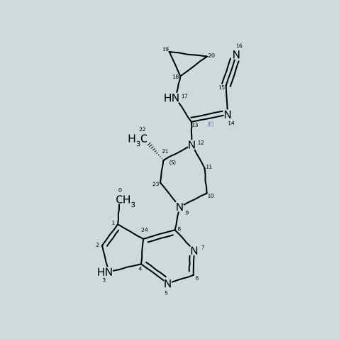 Cc1c[nH]c2ncnc(N3CCN(/C(=N/C#N)NC4CC4)[C@@H](C)C3)c12